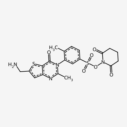 Cc1ccc(S(=O)(=O)ON2C(=O)CCCC2=O)cc1-n1c(C)nc2cc(CN)sc2c1=O